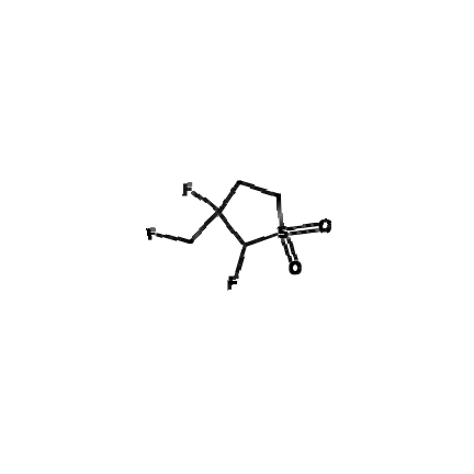 O=S1(=O)CCC(F)(CF)C1F